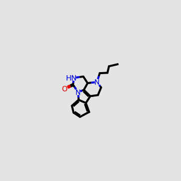 CCCCN1CCc2c3n(c4ccccc24)C(=O)NCC31